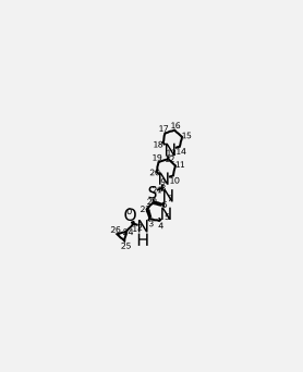 O=C(Nc1cnc2nc(N3CCC(N4CCCCC4)CC3)sc2c1)C1CC1